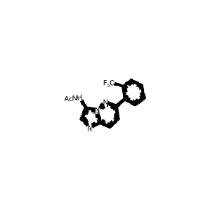 CC(=O)Nc1cnc2ccc(-c3ccccc3C(F)(F)F)nn12